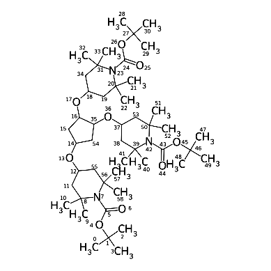 CC(C)(C)OC(=O)N1C(C)(C)CC(OC2CC(OC3CC(C)(C)N(C(=O)OC(C)(C)C)C(C)(C)C3)C(OC3CC(C)(C)N(C(=O)OC(C)(C)C)C(C)(C)C3)C2)CC1(C)C